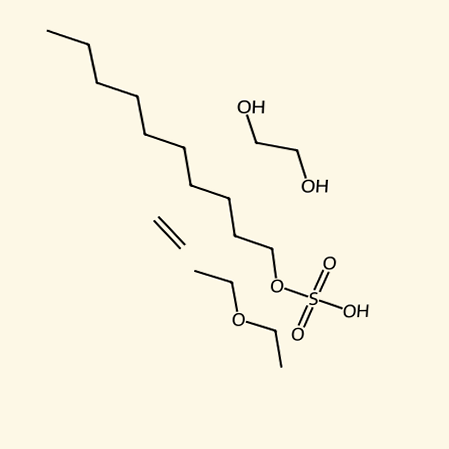 C=C.CCCCCCCCCCOS(=O)(=O)O.CCOCC.OCCO